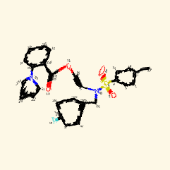 Cc1ccc(S(=O)(=O)N(C#COC(=O)c2ccccc2-n2cccc2)Cc2ccc(F)cc2)cc1